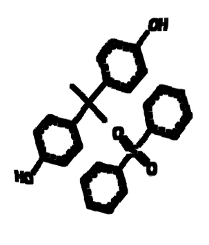 CC(C)(c1ccc(O)cc1)c1ccc(O)cc1.O=S(=O)(c1ccccc1)c1ccccc1